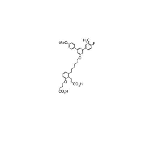 COc1ccc(-c2cc(OCCCCCCc3cccc(OCCCC(=O)O)c3CCC(=O)O)cc(-c3ccc(F)c(C)c3)c2)cc1